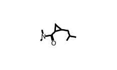 CC(C)CC1CC1C(=O)N(C)C